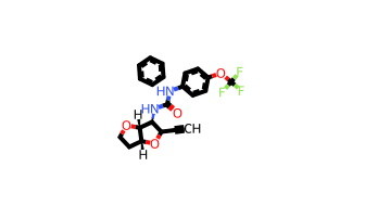 C#CC1O[C@@H]2CCO[C@@H]2[C@H]1NC(=O)Nc1ccc(OC(F)(F)F)cc1.c1ccccc1